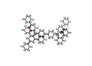 c1ccc(-c2ccc(N(c3ccc(-c4ccc(N(c5ccc(-c6ccccc6)cc5)c5c(-c6ccccc6)cc(-c6ccccc6)cc5-c5ccccc5)cc4)cc3)c3ccccc3-c3ccccn3)cc2)cc1